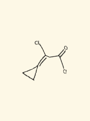 O=C(Cl)C(Cl)=C1CC1